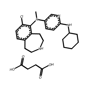 CN(c1ccc(NC2CCCCC2)nc1)c1c(Cl)ccc2c1CCNCC2.O=C(O)CCC(=O)O